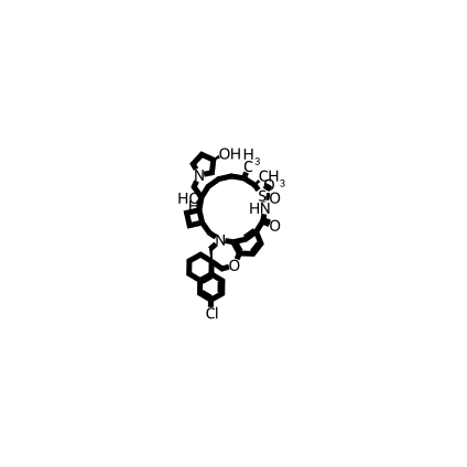 CC1CCC[C@@](O)(CN2CC[C@@H](O)C2)[C@@H]2CCC2CN2C[C@@]3(CCCc4cc(Cl)ccc43)COc3ccc(cc32)C(=O)NS(=O)(=O)[C@@H]1C